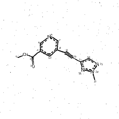 COC(=O)c1cncc(C#Cc2cnn(C)n2)c1